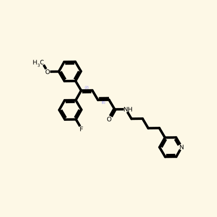 COc1cccc(/C(=C/C=C/C(=O)NCCCCc2cccnc2)c2cccc(F)c2)c1